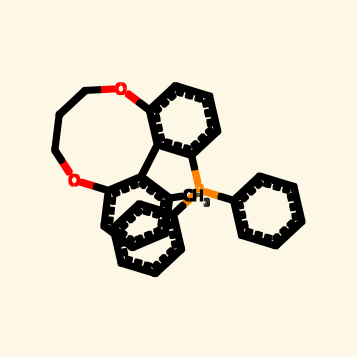 Cc1cccc2c1-c1c(cccc1P(c1ccccc1)c1ccccc1)OCCCO2